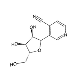 N#Cc1ccncc1C1O[C@H](CO)[C@@H](O)[C@H]1O